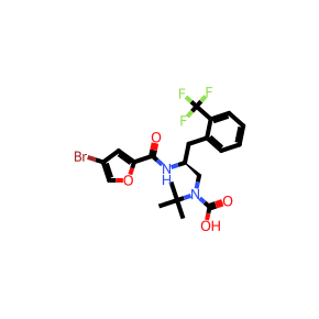 CC(C)(C)N(C[C@H](Cc1ccccc1C(F)(F)F)NC(=O)c1cc(Br)co1)C(=O)O